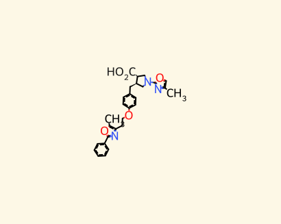 Cc1coc(N2C[C@@H](Cc3ccc(OCCc4nc(-c5ccccc5)oc4C)cc3)[C@H](C(=O)O)C2)n1